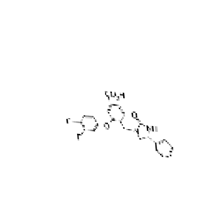 O=C(O)c1ccc(CN2CC(c3ccccc3)NC2=O)c(Oc2ccc(Cl)c(F)c2)c1